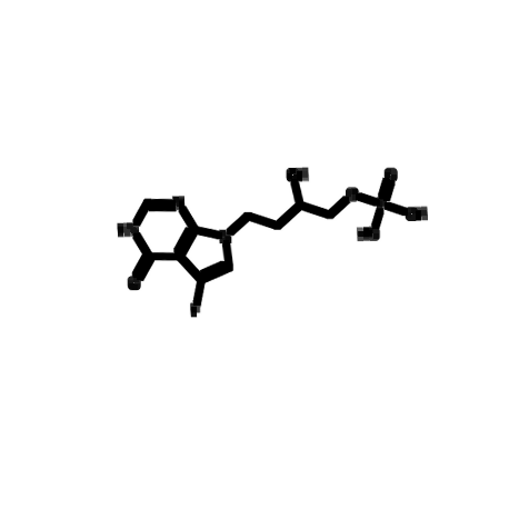 O=c1[nH]cnc2c1c(F)cn2CCC(O)COP(=O)(O)O